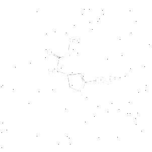 CCOC(=O)C1=CC(NC(=O)OC(C)(C)C)CS1